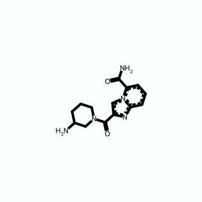 NC(=O)c1cccc2nc(C(=O)N3CCCC(N)C3)cn12